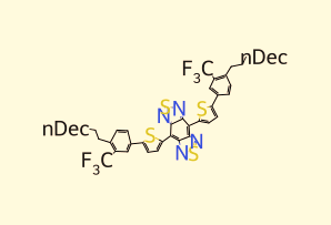 CCCCCCCCCCCCc1ccc(-c2ccc(-c3c4c(c(-c5ccc(-c6ccc(CCCCCCCCCCCC)c(C(F)(F)F)c6)s5)c5nsnc35)N=S=N4)s2)cc1C(F)(F)F